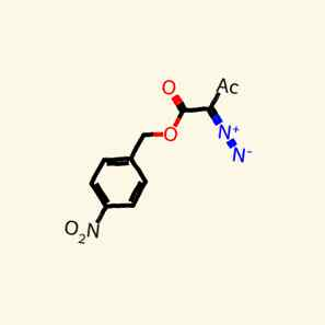 CC(=O)C(=[N+]=[N-])C(=O)OCc1ccc([N+](=O)[O-])cc1